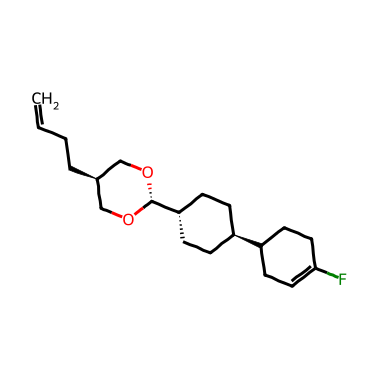 C=CCC[C@H]1CO[C@H]([C@H]2CC[C@H](C3CC=C(F)CC3)CC2)OC1